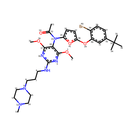 COc1nc(NCCCN2CCN(C)CC2)nc(OC)c1N(C(C)=O)c1ccc(Oc2cc(C(C)(C)C)ccc2Br)o1